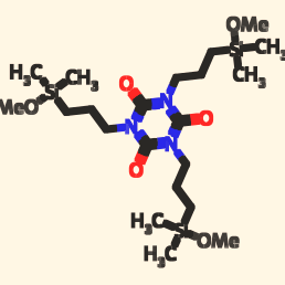 CO[Si](C)(C)CCCn1c(=O)n(CCC[Si](C)(C)OC)c(=O)n(CCC[Si](C)(C)OC)c1=O